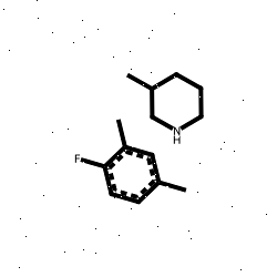 CC1CCCNC1.Cc1ccc(F)c(C)c1